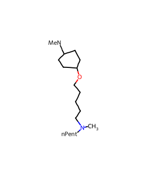 CCCCCN(C)CCCCCOC1CCC(NC)CC1